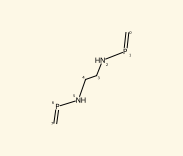 C=PNCCNP=C